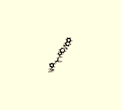 CCCS(=O)(=O)c1cccc(OC[C@@H](O)CN[C@H]2COC3(CCN(S(=O)(=O)c4cnc5ccccc5c4)CC3)C2)c1